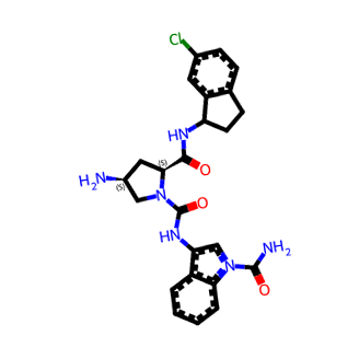 NC(=O)n1cc(NC(=O)N2C[C@@H](N)C[C@H]2C(=O)NC2CCc3ccc(Cl)cc32)c2ccccc21